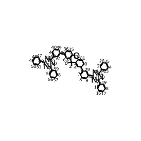 CC1(C)C2=CC(c3cccc(-c4nc(-c5ccccc5)nc(-c5ccccc5)n4)c3)CC=C2Oc2ccc(-c3cccc(-c4nc(-c5ccccc5)nc(-c5ccccc5)n4)c3)cc21